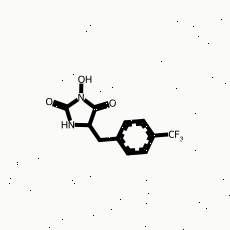 O=C1NC(Cc2ccc(C(F)(F)F)cc2)C(=O)N1O